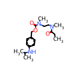 CCC(=O)N(C)CCN(C)C(=O)OCc1ccc(NC(C)C)cc1